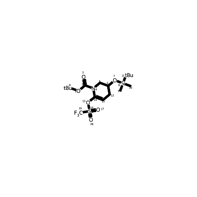 CC(C)(C)OC(=O)N1CC(O[Si](C)(C)C(C)(C)C)CC=C1OS(=O)(=O)C(F)(F)F